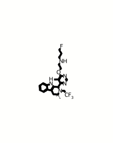 Cc1c(OCCNCCCF)ncnc1C1c2[nH]c3ccccc3c2C[C@@H](C)N1CC(F)(F)F